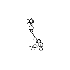 CCC(=O)OCN1C(=O)CCc2ccc(OCCCCN3CCN(c4cccc(C)c4C)CC3)cc21